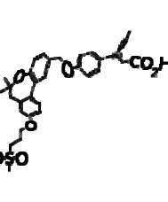 CC#C[C@@H](CC(=O)O)c1ccc(OCc2ccc3c(c2)-c2ccc(OCCCS(C)(=O)=O)cc2CC(C)(C)O3)cc1